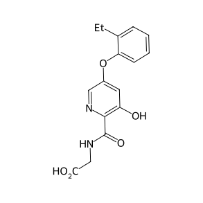 CCc1ccccc1Oc1cnc(C(=O)NCC(=O)O)c(O)c1